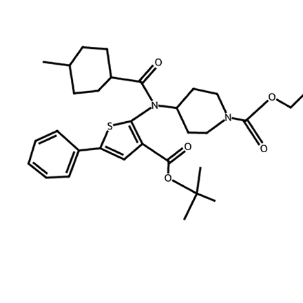 CCOC(=O)N1CCC(N(C(=O)C2CCC(C)CC2)c2sc(-c3ccccc3)cc2C(=O)OC(C)(C)C)CC1